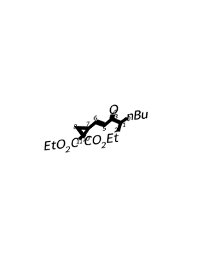 CCCCC(C)C(=O)C=CC1CC1(C(=O)OCC)C(=O)OCC